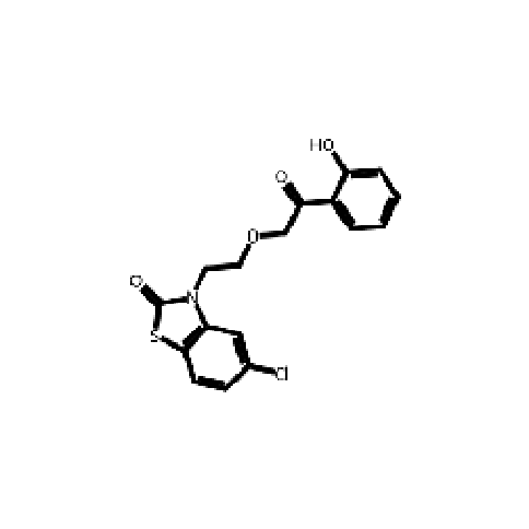 O=C(COCCn1c(=O)sc2ccc(Cl)cc21)c1ccccc1O